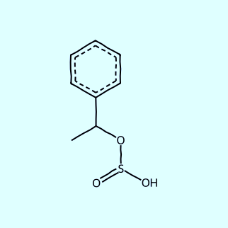 CC(OS(=O)O)c1ccccc1